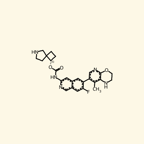 Cc1c(-c2cc3cc(NC(=O)O[C@H]4CCC45CCNC5)ncc3cc2F)cnc2c1NCCO2